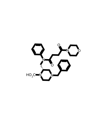 O=C(CCC(=O)N(C[C@@H]1CN(Cc2ccccc2)CCN1C(=O)O)c1ccccc1)N1CCOCC1